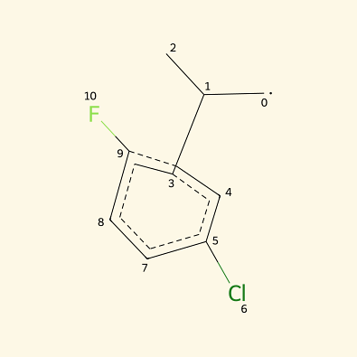 [CH2]C(C)c1cc(Cl)ccc1F